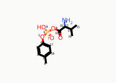 Cc1ccc(OP(=O)(O)OC(=O)[C@@H](N)C(C)C)cc1